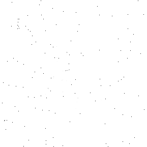 CC(C)(C)CCC(=O)C/C=C(/N)S(=O)(=O)/C=C/[C@H]1CCCN1C(=O)OC(C)(C)C